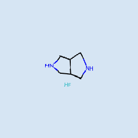 C1NCC2CNCC12.F